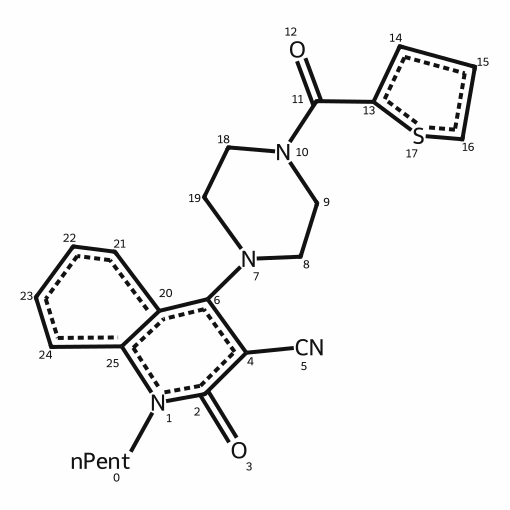 CCCCCn1c(=O)c(C#N)c(N2CCN(C(=O)c3cccs3)CC2)c2ccccc21